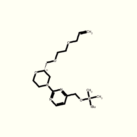 C=CCOCCOC[C@@H]1CN(c2nccc(CO[Si](C)(C)C(C)(C)C)n2)CCO1